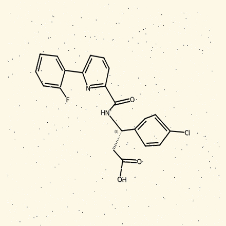 O=C(O)C[C@H](NC(=O)c1cccc(-c2ccccc2F)n1)c1ccc(Cl)cc1